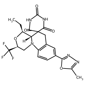 CC[C@@H]1O[C@H](C(F)(F)F)CN2c3ccc(-c4nnc(C)o4)cc3CC3(C(=O)NC(=O)NC3=O)[C@@H]12